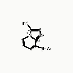 CC(=O)Nc1cccn2c(C(C)C)cnc12